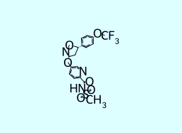 CS(=O)(=O)NC(=O)c1ccc(OC2=NO[C@H](c3ccc(OC(F)(F)F)cc3)C2)cn1